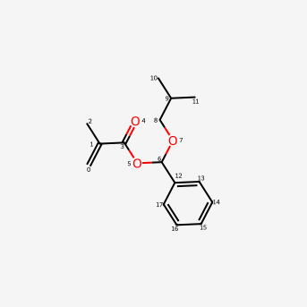 C=C(C)C(=O)OC(OCC(C)C)c1ccccc1